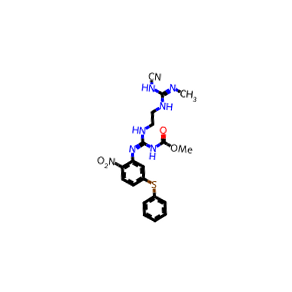 C/N=C(/NC#N)NCCN/C(=N/c1cc(Sc2ccccc2)ccc1[N+](=O)[O-])NC(=O)OC